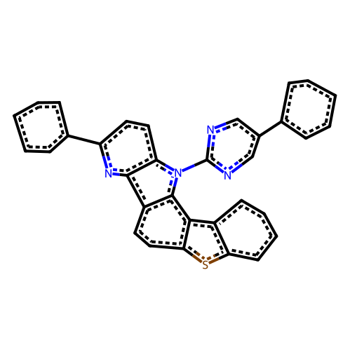 c1ccc(-c2cnc(-n3c4ccc(-c5ccccc5)nc4c4ccc5sc6ccccc6c5c43)nc2)cc1